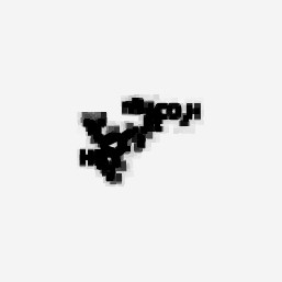 CCCCC(CC)C(=O)O.CN(C)Cc1cc(CN(C)C)c(O)c(CN(C)C)c1